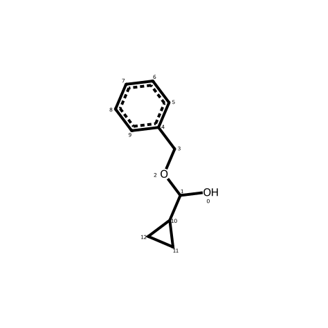 OC(OCc1ccccc1)C1CC1